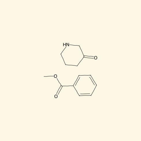 COC(=O)c1ccccc1.O=C1CCCNC1